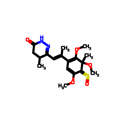 COC1=CC(C(C)=CC2=NNC(=O)CC2C)=C(OC)C(C)(OC)C1=S=O